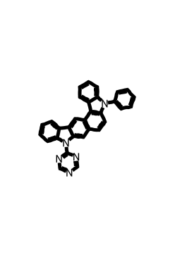 c1ccc(-n2c3ccccc3c3c4cc5c6ccccc6n(-c6ncncn6)c5cc4ccc32)cc1